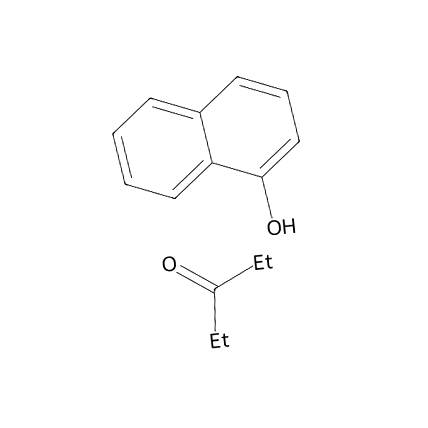 CCC(=O)CC.Oc1cccc2ccccc12